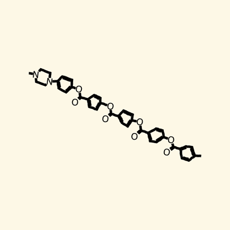 Cc1ccc(C(=O)Oc2ccc(C(=O)Oc3ccc(C(=O)Oc4ccc(C(=O)Oc5ccc(N6CCN(C)CC6)cc5)cc4)cc3)cc2)cc1